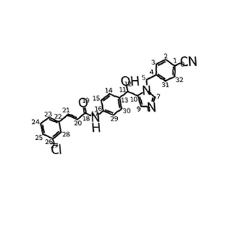 N#Cc1ccc(Cn2cncc2C(O)c2ccc(NC(=O)C=Cc3cccc(Cl)c3)cc2)cc1